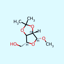 CO[C@@H]1O[C@H](CO)C2OC(C)(C)O[C@@H]21